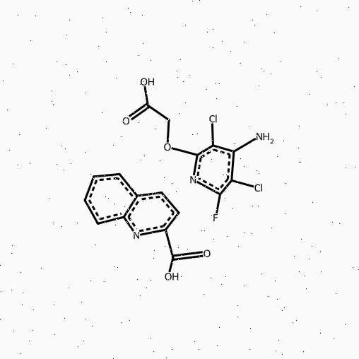 Nc1c(Cl)c(F)nc(OCC(=O)O)c1Cl.O=C(O)c1ccc2ccccc2n1